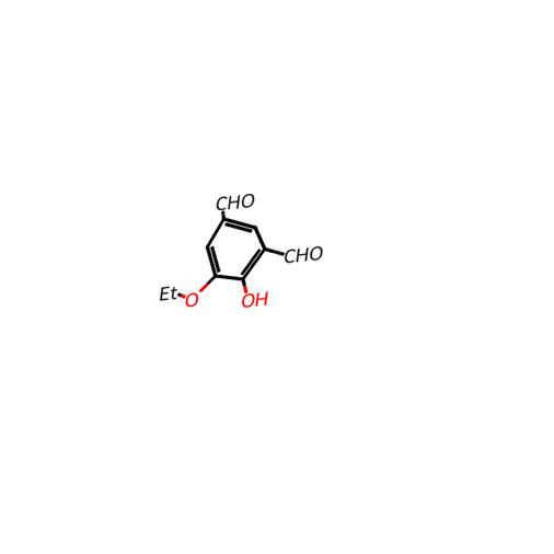 CCOc1cc(C=O)cc(C=O)c1O